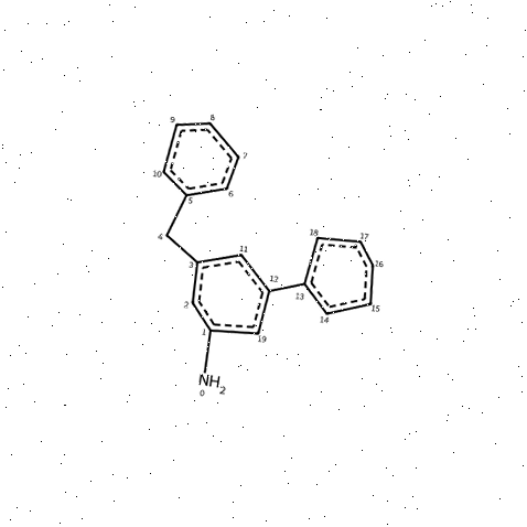 Nc1cc(Cc2ccccc2)cc(-c2ccccc2)c1